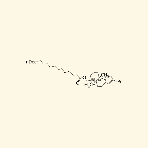 CCCCCCCCCCCCCCCCCCCCCC(=O)OC[C@@]1(C)CCC[C@]2(C)c3ccc(C(C)C)cc3CC[C@@H]12